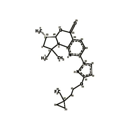 C[C@H]1CC(C)(C)N2c3nc(-n4ccc(OCCC5(C(F)(F)F)CC5)n4)ccc3C(=O)OC12